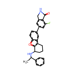 CC(NC1CCCc2c1oc1ccc(-c3cc(F)c4c(c3)CNC4=O)cc21)c1ccccc1